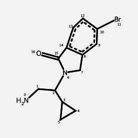 NCC(C1CC1)N1Cc2cc(Br)ccc2C1=O